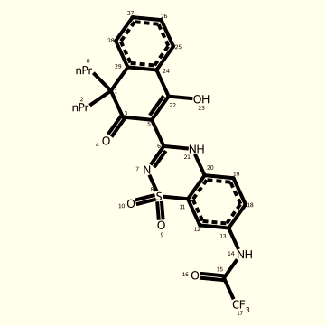 CCCC1(CCC)C(=O)C(C2=NS(=O)(=O)c3cc(NC(=O)C(F)(F)F)ccc3N2)=C(O)c2ccccc21